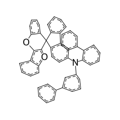 c1ccc(-c2cccc(N(c3ccc4c(c3)-c3ccccc3C43c4ccccc4Oc4c3oc3ccccc43)c3ccccc3-c3ccccc3)c2)cc1